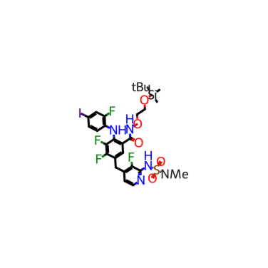 CNS(=O)(=O)Nc1nccc(Cc2cc(C(=O)NOCCO[Si](C)(C)C(C)(C)C)c(Nc3ccc(I)cc3F)c(F)c2F)c1F